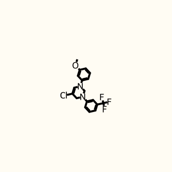 COc1cccc(N2C=C(Cl)CN(c3cccc(C(F)(F)F)c3)C2)c1